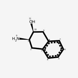 N[C@@H]1Cc2ccccc2C[C@@H]1O